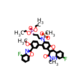 CCOP(=O)(CCCN(c1cc2oc(-c3ccc(F)cc3)c(C(=O)NC)c2cc1-c1ccc(OC)c(-c2nc3c(F)cccc3o2)c1)S(C)(=O)=O)OCC